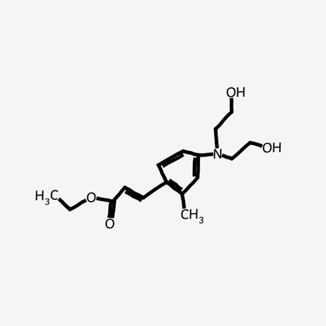 CCOC(=O)C=Cc1ccc(N(CCO)CCO)cc1C